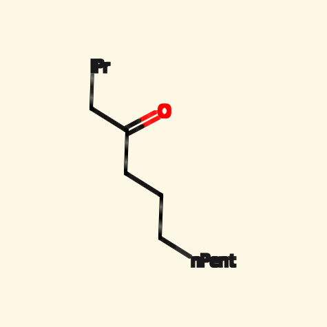 [CH2]CCCCCCCC(=O)CC(C)C